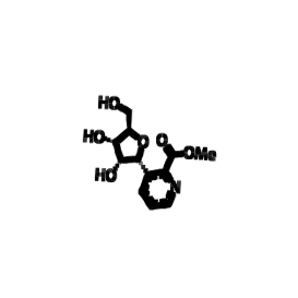 COC(=O)c1ncccc1[C@H]1O[C@H](CO)[C@@H](O)[C@H]1O